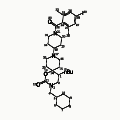 CCCCC1CN(CC2CCCCC2)C(=O)OC12CCN(C1CCN(C(=O)c3c(C)cc(I)cc3C)CC1)CC2